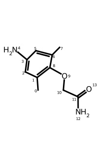 Cc1cc(N)cc(C)c1OCC(N)=O